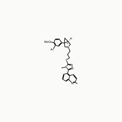 COc1ccc(C23C[C@H]2CN(CCCSc2nnc(-c4cccc5nc(C)ccc45)n2C)C3)cc1C(C)=O